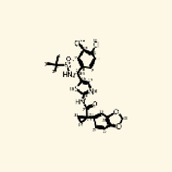 CC(C)(C)[S+]([O-])N[C@H](c1ccc(Cl)c(Cl)c1)c1cnc(NC(=O)C2(c3ccc4c(c3)OCO4)CC2)s1